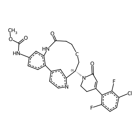 COC(=O)Nc1ccc2c(c1)NC(=O)CCCC[C@H](N1CCC(c3c(F)ccc(Cl)c3F)=CC1=O)c1cc-2ccn1